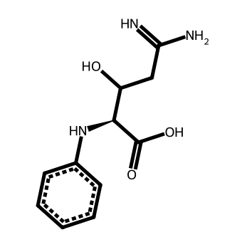 N=C(N)CC(O)[C@H](Nc1ccccc1)C(=O)O